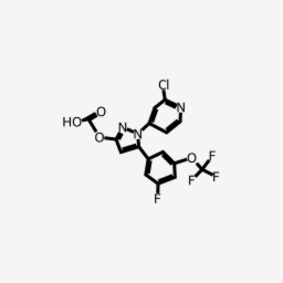 O=C(O)Oc1cc(-c2cc(F)cc(OC(F)(F)F)c2)n(-c2ccnc(Cl)c2)n1